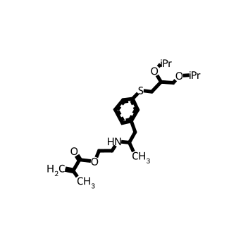 C=C(C)C(=O)OCCNC(C)Cc1cccc(SCC(COC(C)C)OC(C)C)c1